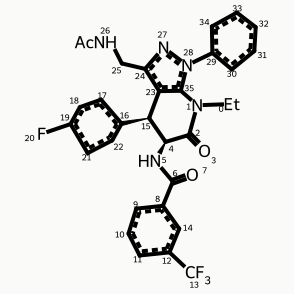 CCN1C(=O)[C@@H](NC(=O)c2cccc(C(F)(F)F)c2)[C@@H](c2ccc(F)cc2)c2c(CNC(C)=O)nn(-c3ccccc3)c21